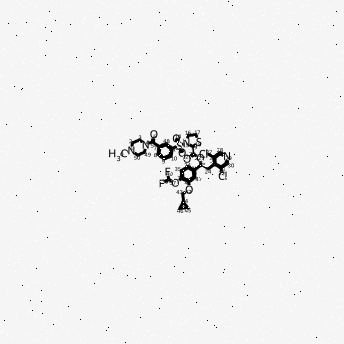 CN1CCN(C(=O)c2cccc(S(=O)(=O)N3CCS[C@H]3C(=O)O[C@@H](Cc3c(Cl)cncc3Cl)c3ccc(OC(F)F)c(OCC4CC4)c3)c2)CC1